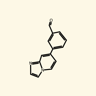 O=Cc1cccc(-c2ccn3ccnc3c2)c1